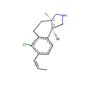 C/C=C\c1ccc2c(c1Cl)CC[C@@]1(C)CNC[C@@H]21